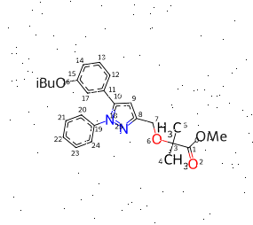 COC(=O)C(C)(C)OCc1cc(-c2cccc(OCC(C)C)c2)n(-c2ccccc2)n1